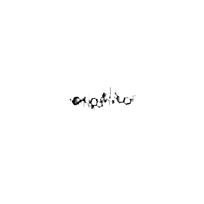 C[C@H](N(Cc1ccc(F)cc1)C(=O)CN1C[C@]2(CCC3C(=O)C(NC(=O)c4ccncc4)=CC=C32)OC1=O)C(F)(F)F